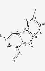 C=Cc1cc(C)cc2c1oc1ccc(C)cc12